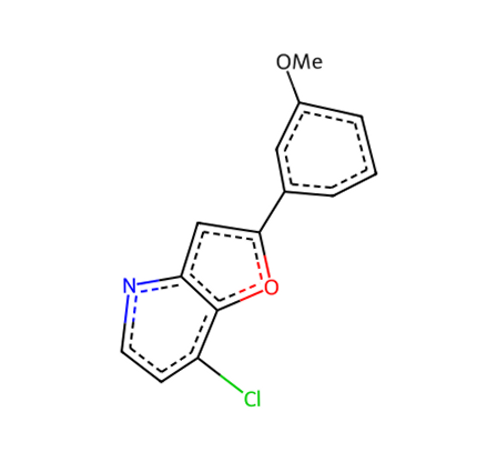 COc1cccc(-c2cc3nccc(Cl)c3o2)c1